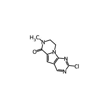 CN1CCn2c(cc3cnc(Cl)nc32)C1=O